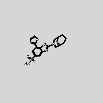 CS(=O)(=O)c1cc(-c2nccs2)c2oc(N3CC4CCCC(C3)N4)nc2c1